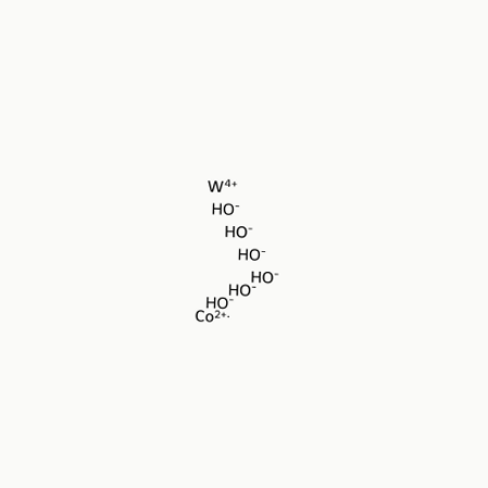 [Co+2].[OH-].[OH-].[OH-].[OH-].[OH-].[OH-].[W+4]